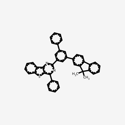 CC1(C)c2ccccc2-c2ccc(-c3cc(-c4ccccc4)cc(-c4nc(-c5ccccc5)c5sc6ccccc6c5n4)c3)cc21